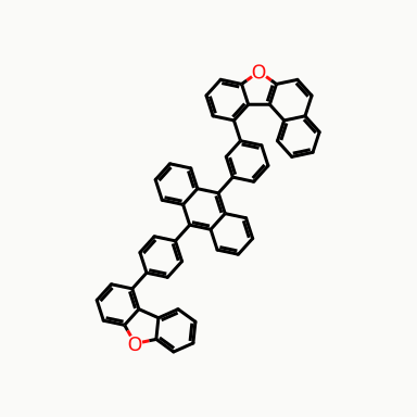 c1cc(-c2c3ccccc3c(-c3ccc(-c4cccc5oc6ccccc6c45)cc3)c3ccccc23)cc(-c2cccc3oc4ccc5ccccc5c4c23)c1